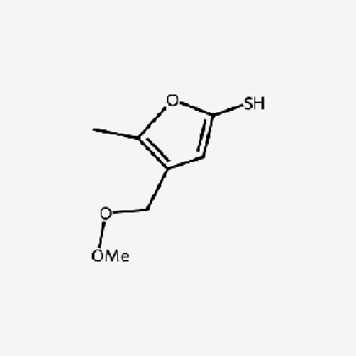 COOCc1cc(S)oc1C